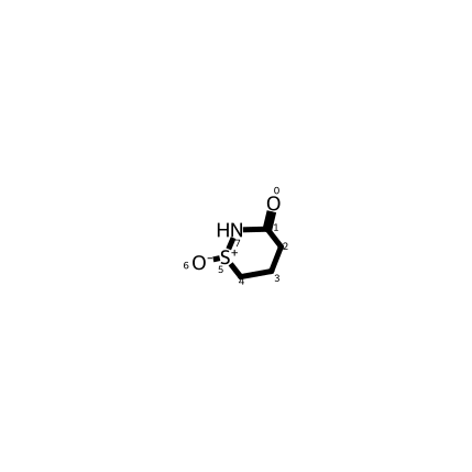 O=C1CCC[S+]([O-])N1